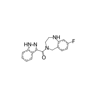 O=C(c1n[nH]c2ccccc12)N1CCNc2cc(F)ccc2C1